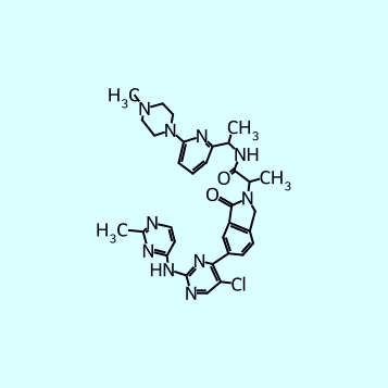 Cc1nccc(Nc2ncc(Cl)c(-c3ccc4c(c3)C(=O)N(C(C)C(=O)NC(C)c3cccc(N5CCN(C)CC5)n3)C4)n2)n1